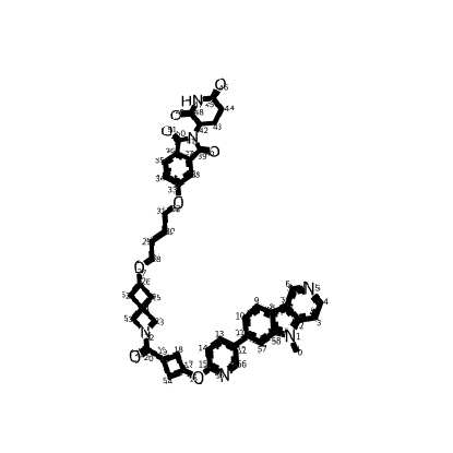 Cn1c2ccncc2c2ccc(-c3ccc(OC4CC(C(=O)N5CC6(CC(OCCCCOc7ccc8c(c7)C(=O)N(C7CCC(=O)NC7=O)C8=O)C6)C5)C4)nc3)cc21